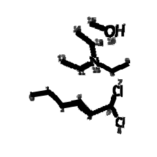 CCCCCC(Cl)Cl.CCN(CC)CC.CO